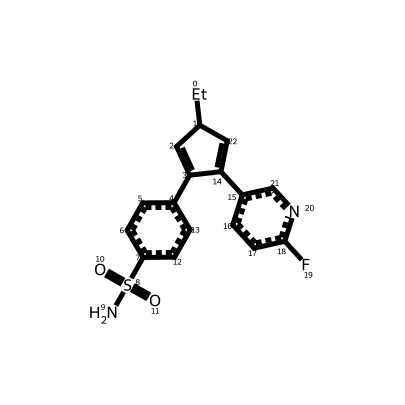 CCC1C=C(c2ccc(S(N)(=O)=O)cc2)C(c2ccc(F)nc2)=C1